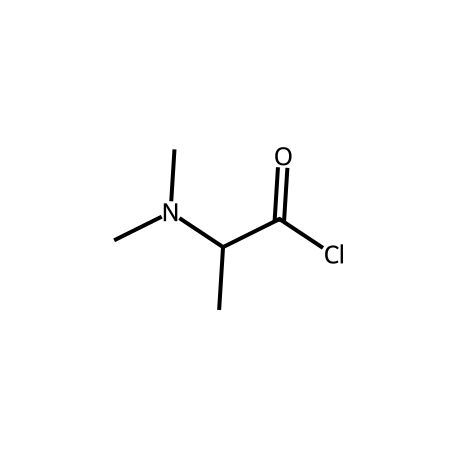 CC(C(=O)Cl)N(C)C